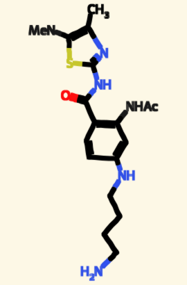 CNc1sc(NC(=O)c2ccc(NCCCCN)cc2NC(C)=O)nc1C